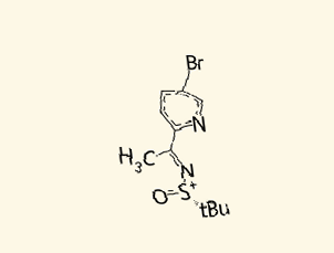 CC(=N[S@@+]([O-])C(C)(C)C)c1ccc(Br)cn1